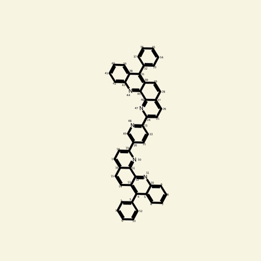 c1ccc(-c2c3ccccc3nc3c2ccc2ccc(-c4ccc(-c5ccc6ccc7c(-c8ccccc8)c8ccccc8nc7c6n5)nc4)nc23)cc1